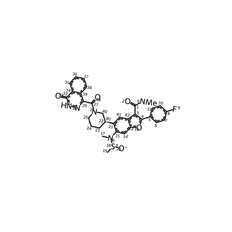 CNC(=O)c1c(-c2ccc(F)cc2)oc2cc(N(C)[S+](C)[O-])c([C@H]3CCCN(C(=O)c4n[nH]c(=O)c5ccccc45)C3)cc12